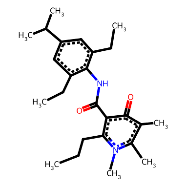 CCCc1c(C(=O)Nc2c(CC)cc(C(C)C)cc2CC)c(=O)c(C)c(C)n1C